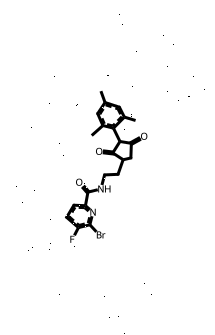 Cc1cc(C)c(C2C(=O)CC(CCNC(=O)c3ccc(F)c(Br)n3)C2=O)c(C)c1